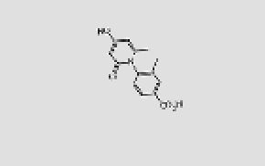 Cc1cc(C(=O)O)ccc1-n1c(C)cc(O)cc1=O